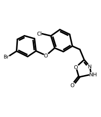 O=c1[nH]nc(Cc2ccc(Cl)c(Oc3cccc(Br)c3)c2)o1